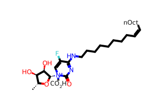 CCCCCCCC/C=C\CCCCCCCCNC1=NC(=O)[N+](C(=O)O)([C@@H]2O[C@H](C)[C@@H](O)[C@H]2O)C=C1F